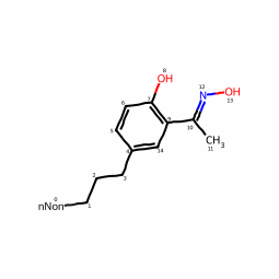 CCCCCCCCCCCCc1ccc(O)c(C(C)=NO)c1